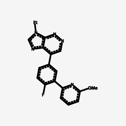 CCn1cnc2c(-c3ccc(F)c(-c4cccc(OC)n4)c3)cnnc21